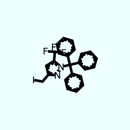 FC(F)(F)c1cc(CI)nn1C(c1ccccc1)(c1ccccc1)c1ccccc1